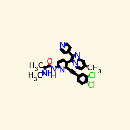 CNC(C)C(=O)Nc1ccc(-c2c(-c3ccncc3)nc3cc(C)ccn23)c(C#Cc2ccc(Cl)c(Cl)c2)n1